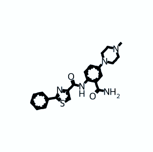 CN1CCN(c2ccc(NC(=O)c3csc(-c4ccccc4)n3)c(C(N)=O)c2)CC1